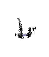 CC1(CCCCS(=O)(=O)O)C(/C=C/C=C/C=C2\N3CCCc4ccc(S(=O)(=O)O)c(c43)C2(C)CCCCCC(=O)NCCOCCOCCCCCCCl)=[N+]2CCCc3ccc(S(=O)(=O)O)c1c32.[NaH]